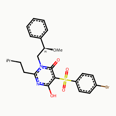 CO[C@@H](Cn1c(CCC(C)C)nc(O)c(S(=O)(=O)c2ccc(Br)cc2)c1=O)c1ccccc1